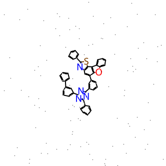 c1ccc(-c2cccc(-c3nc(-c4ccccc4)nc(-c4cccc(-c5cc6nc(-c7ccccc7)sc6c6c5oc5ccccc56)c4)n3)c2)cc1